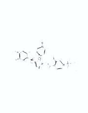 CC(C)(O)c1ccc(CSc2ncc(C(C)(C)c3ccc(Cl)c(Cl)c3)n2-c2ccc(F)cc2)c(Cl)c1